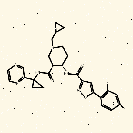 O=C(N[C@H]1CCN(CC2CC2)C[C@@H]1C(=O)NC1(c2cnccn2)CC1)c1cc(-c2ccc(F)cc2F)on1